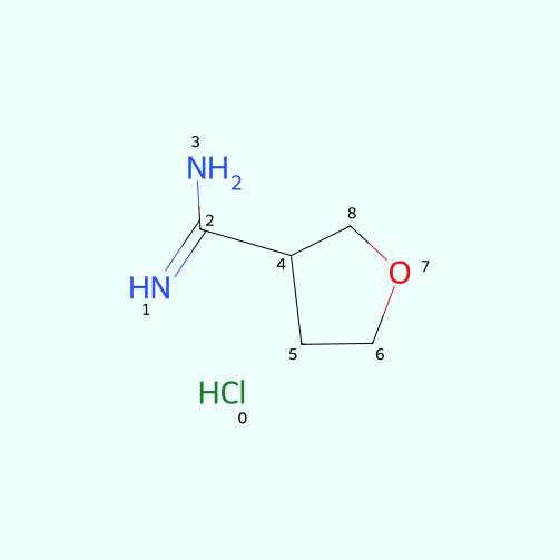 Cl.N=C(N)C1CCOC1